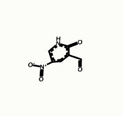 O=Cc1cc([N+](=O)[O-])c[nH]c1=O